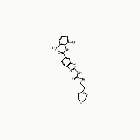 Cc1cccc(Cl)c1NC(=O)c1ccc2nc(NC(=O)NCCN3CCOCC3)sc2c1